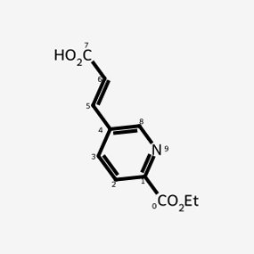 CCOC(=O)c1ccc(/C=C/C(=O)O)cn1